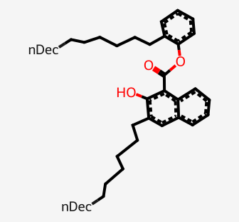 CCCCCCCCCCCCCCCCc1ccccc1OC(=O)c1c(O)c(CCCCCCCCCCCCCCCC)cc2ccccc12